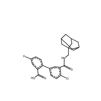 O=C(NCC12CC3CC(CC(C3)C1)C2)c1cc(-c2ccc(F)cc2C(=O)O)ccc1Cl